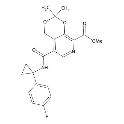 COC(=O)c1ncc(C(=O)NC2(c3ccc(F)cc3)CC2)c2c1OC(C)(C)OC2